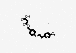 COc1ccc(CCOc2ccc(COC(=O)CC(=O)O)cc2)cc1